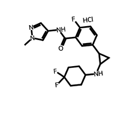 Cl.Cn1cc(NC(=O)c2cc(C3CC3NC3CCC(F)(F)CC3)ccc2F)cn1